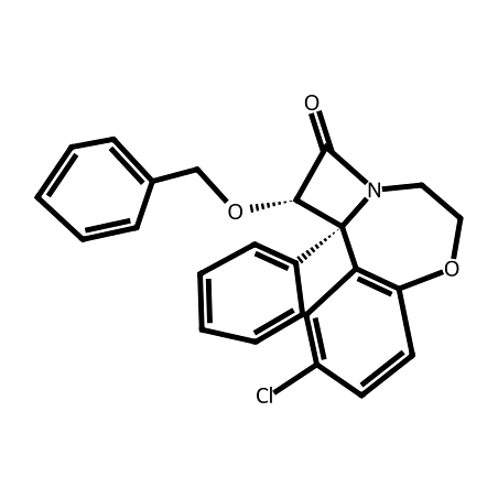 O=C1[C@@H](OCc2ccccc2)[C@]2(c3ccccc3)c3cc(Cl)ccc3OCCN12